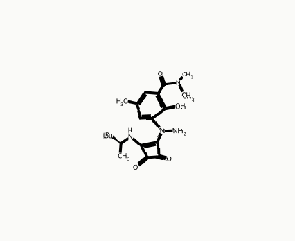 Cc1cc(C(=O)N(C)C)c(O)c(N(N)c2c(N[C@@H](C)C(C)(C)C)c(=O)c2=O)c1